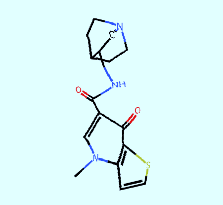 Cn1cc(C(=O)NC2CN3CCC2CC3)c(=O)c2sccc21